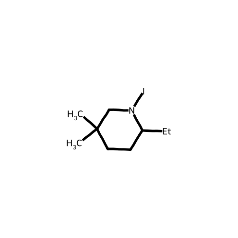 CCC1CCC(C)(C)CN1I